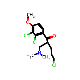 COc1ccc(C(=O)C(CCCCl)CN(C)C)c(Cl)c1Cl